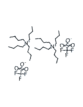 CCCC[N+](CCCC)(CCCC)CCCC.CCCC[N+](CCCC)(CCCC)CCCC.O=S(=O)([O-])C(F)(F)F.O=S(=O)([O-])C(F)(F)F